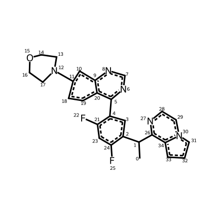 CC(c1cc(-c2ncnc3cc(N4CCOCC4)ccc23)c(F)cc1F)c1nccn2cccc12